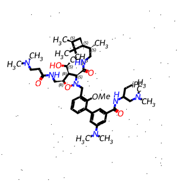 COc1c(CN2O[C@@H](CNC(=O)CCN(C)C)[C@@H]([C@H](C)O)[C@H]2C(=O)NC[C@@H](C)[C@@H]2C[C@H](C)C2(C)C)cccc1-c1cc(C(=O)NC(CC(C)C)CN(C)C)cc(N(C)C)c1